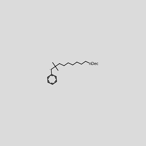 CCCCCCCCCCCCCCCCCC(C)(C)[CH]c1ccccc1